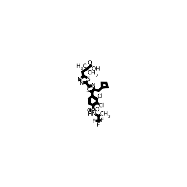 CC(NS(=O)(=O)c1ccc(-c2sc(-c3nnc(CC(C)(C)C(=O)O)s3)nc2CC2CCC2)c(Cl)c1Cl)C(F)(F)F